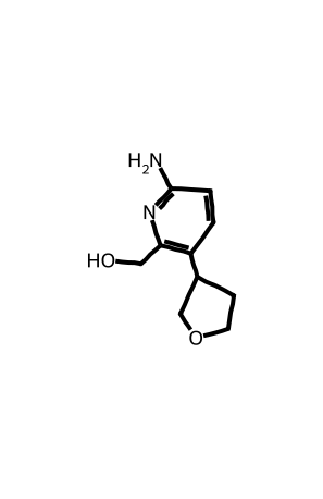 Nc1ccc(C2CCOC2)c(CO)n1